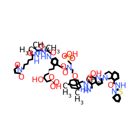 C/C(NCC12CC3(OCCN(CCS(=O)(=O)O)C(=O)OCc4ccc(NC(=O)[C@H](C)NC(=O)[C@@H](NC(=O)CCCCCN5C(=O)C=CC5=O)C(C)C)cc4CC[C@H]4C[C@@H](O)C[C@@H](C(=O)O)O4)CC4(C)CC(C)(C1)C2(C4)C3)=C(/C=N)c1ccc(N2CCc3cccc(C(=O)Nc4nc5ccccc5s4)c3C2)nc1C(=O)O